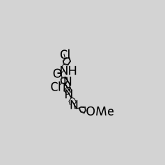 COc1ccc(CN2CCC(N3CCN(c4ncc(C(=O)NCc5cccc(Cl)c5)cc4Cl)CC3)CC2)cc1